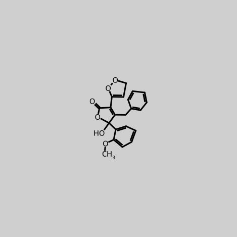 COc1ccccc1C1(O)OC(=O)C(C2=CCOO2)=C1Cc1ccccc1